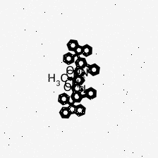 CC(C)(C)c1c2c(=O)c3cc(C4(c5ccccc5)c5ccccc5-c5ccccc54)cc4c5ccccc5n(c2cc2c1c(=O)c1cc(C5(c6ccccc6)c6ccccc6-c6ccccc65)cc5c6ccccc6n2c15)c34